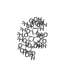 [2H]C([2H])([2H])Oc1cc([C@]2([2H])c3cc4c(cc3[C@@H](O[C@@H]3O[C@@H]5CO[C@@H](C)O[C@H]5[C@H](O)[C@H]3O)[C@@H]3[C@@H]2C(=O)OC3([2H])[2H])OC([2H])([2H])O4)cc(OC([2H])([2H])[2H])c1OP(=O)(O)O